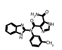 Cc1cccc(N(C(=O)c2nc[nH]c2C(N)=O)c2nc3ccccc3[nH]2)c1